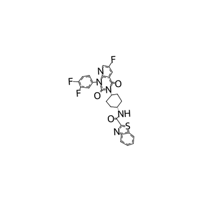 O=C(N[C@H]1CC[C@@H](n2c(=O)c3cc(F)cnc3n(-c3ccc(F)c(F)c3)c2=O)CC1)c1nc2ccccc2s1